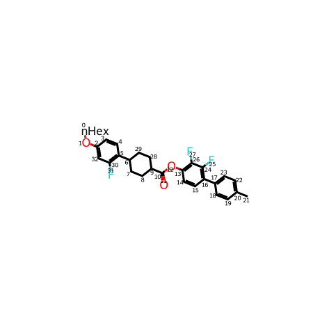 CCCCCCOc1ccc(C2CCC(C(=O)Oc3ccc(-c4ccc(C)cc4)c(F)c3F)CC2)c(F)c1